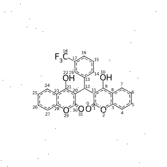 O=c1oc2ccccc2c(O)c1C(c1cccc(C(F)(F)F)c1)c1c(O)c2ccccc2oc1=O